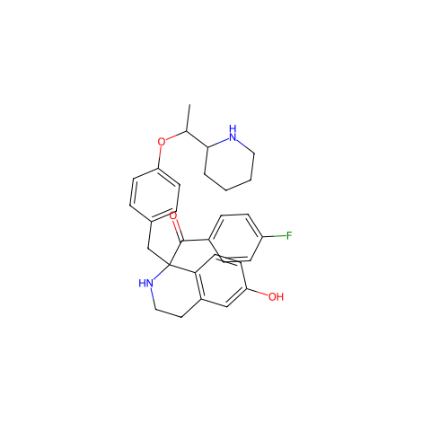 CC(Oc1ccc(CC2(C(=O)c3ccc(F)cc3)NCCc3cc(O)ccc32)cc1)C1CCCCN1